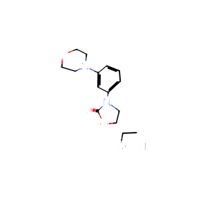 CC([C@H]1CN(c2cccc(N3CCOCC3)c2)C(=O)O1)S(=O)(=O)O